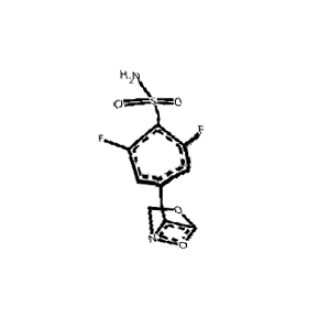 NS(=O)(=O)c1c(F)cc(-c2c3on2CO3)cc1F